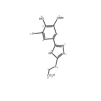 COc1cc(-c2nnc(SCC(=O)O)[nH]2)cc(F)c1O